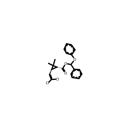 CC1(C)[C@H](C=C(Cl)Cl)[C@H]1C(=O)OC(Oc1ccccc1)c1ccccc1